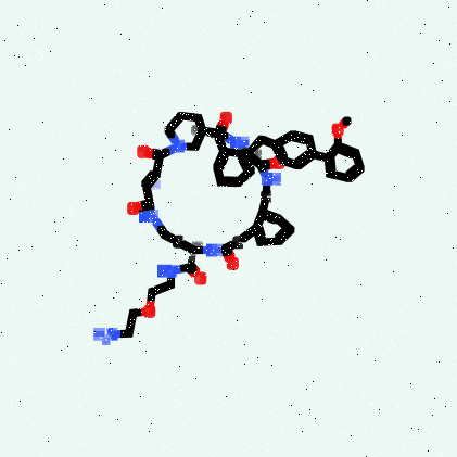 COc1ccccc1-c1ccc(C[C@@H]2NC(=O)[C@]3(Cc4ccccc4)CCCN(C3)C(=O)/C=C/C(=O)NCC[C@@H](C(=O)NCCOCCN)NC(=O)Cc3ccccc3CNC2=O)cc1